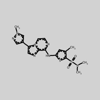 Cc1cc(Nc2nccn3c(-c4cnn(C)c4)cnc23)sc1S(=O)(=O)N(C)C